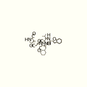 CC(C)[C@H](NC(=O)c1cc2ccccc2o1)C(=C=O)N[C@@H](CC1CCCCC1)C(=C=O)N[C@H](C=C=O)C[C@@H]1CCNC1=C=O